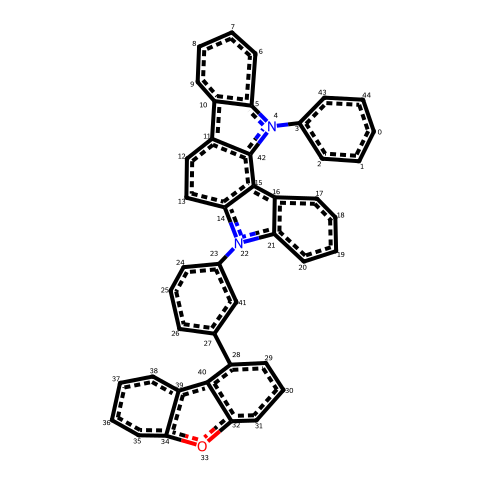 c1ccc(-n2c3ccccc3c3ccc4c(c5ccccc5n4-c4cccc(-c5cccc6oc7ccccc7c56)c4)c32)cc1